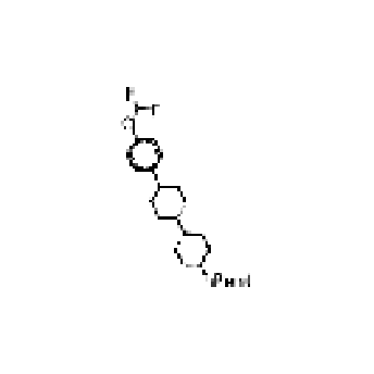 CCCCC[C@H]1CC[C@H]([C@H]2CC[C@H](c3ccc(OC(F)F)cc3)CC2)CC1